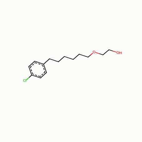 OCCOCCCCCCc1ccc(Cl)cc1